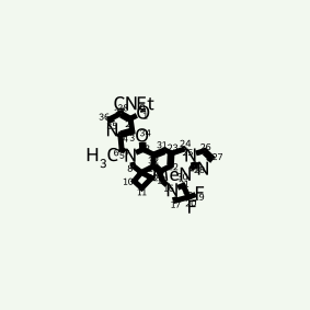 CCOc1cc([C@H](C)N2CC3(CCC3)c3c(CN4CC(F)(F)C4)cc(Cn4ccnc4NC)cc3C2=O)ncc1C#N